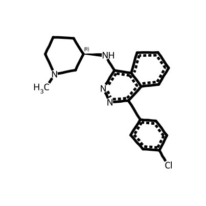 CN1CCC[C@@H](Nc2nnc(-c3ccc(Cl)cc3)c3ccccc23)C1